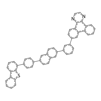 c1cc(-c2ccc3cc(-c4ccc(-c5cccc6c5sc5ccccc56)cc4)ccc3c2)cc(-c2ccc3c(c2)c2ccccc2c2nccnc32)c1